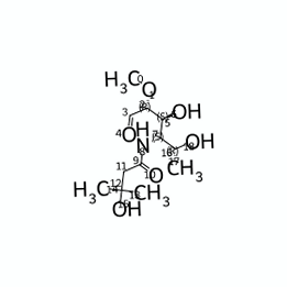 CO[C@@H](C=O)[C@@H](O)[C@@H](NC(=O)CC(C)(C)O)[C@@H](C)O